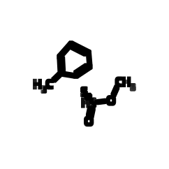 CO[SH](=O)=S.Cc1ccccc1